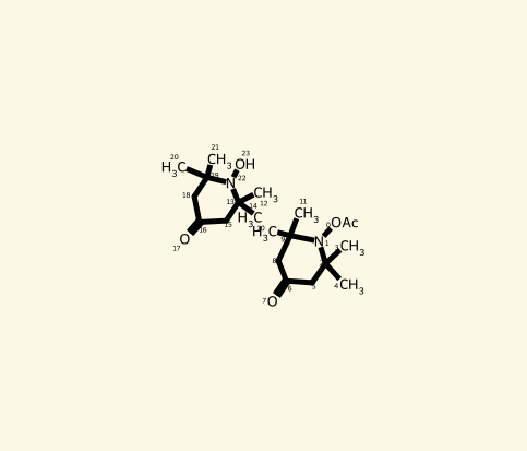 CC(=O)ON1C(C)(C)CC(=O)CC1(C)C.CC1(C)CC(=O)CC(C)(C)N1O